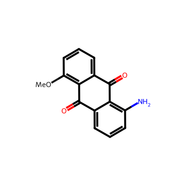 COc1cccc2c1C(=O)c1cccc(N)c1C2=O